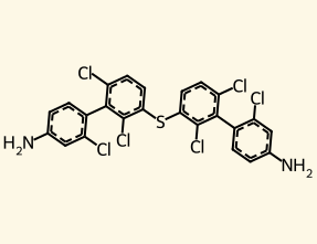 Nc1ccc(-c2c(Cl)ccc(Sc3ccc(Cl)c(-c4ccc(N)cc4Cl)c3Cl)c2Cl)c(Cl)c1